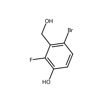 OCc1c(Br)ccc(O)c1F